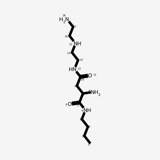 CCCCNC(=O)C(N)CC(=O)NCCNCCN